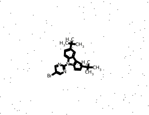 CC(C)(C)c1ccc2c(c1)c1cc(C(C)(C)C)ccc1n2-c1ncc(Br)cn1